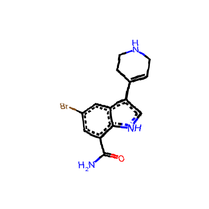 NC(=O)c1cc(Br)cc2c(C3=CCNCC3)c[nH]c12